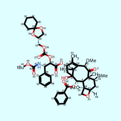 CO[C@H]1C(=O)[C@@]2(C)C([C@H](OC(=O)c3ccccc3)C3(O)C[C@H](OC(=O)[C@H](OC(=O)OC[C@H]4COC5(CCCCC5)O4)[C@@H](NC(=O)OC(C)(C)C)c4ccccc4)C(C)=C1C3(C)C)[C@]1(OC(C)=O)CO[C@@H]1C[C@@H]2OC